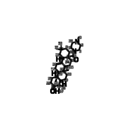 CN1CCN(C(=O)[C@]23CCC(C)(C)C[C@H]2C2=CC[C@@H]4[C@@]5(C)CC[C@H](O)C(C)(C)[C@@H]5CC[C@@]4(C)[C@]2(C)CC3)CC1